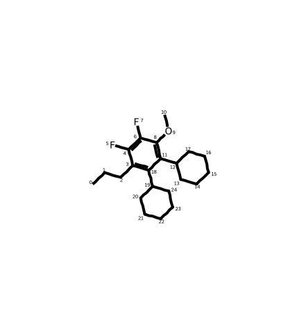 CCCc1c(F)c(F)c(OC)c(C2CCCCC2)c1C1CCCCC1